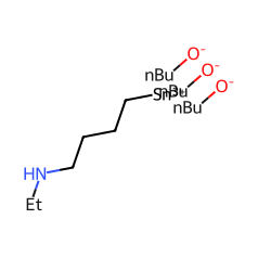 CCCC[O-].CCCC[O-].CCCC[O-].CCNCCC[CH2][Sn+3]